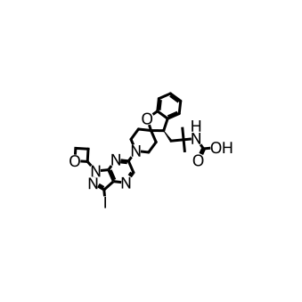 CC(C)(C[C@@H]1c2ccccc2OC12CCN(c1cnc3c(I)nn(C4CCO4)c3n1)CC2)NC(=O)O